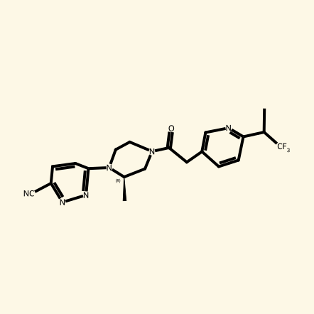 CC(c1ccc(CC(=O)N2CCN(c3ccc(C#N)nn3)[C@H](C)C2)cn1)C(F)(F)F